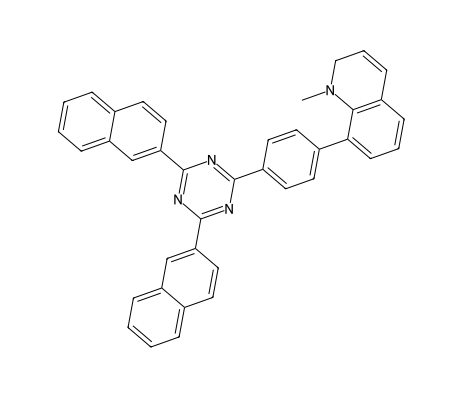 CN1CC=Cc2cccc(-c3ccc(-c4nc(-c5ccc6ccccc6c5)nc(-c5ccc6ccccc6c5)n4)cc3)c21